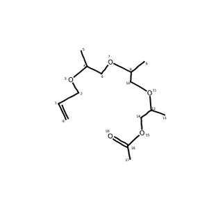 C=CCOC(C)COC(C)COC(C)COC(C)=O